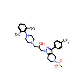 CS(=O)(=O)N1CCc2c(c(-c3ccc(C(F)(F)F)cc3)nn2CC(O)CN2CCN(c3c(N=O)cccc3N=O)CC2)C1